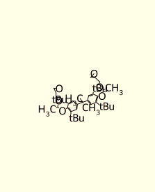 CC(OCC1CO1)Oc1c(C(C)(C)C)cc(C(C)(C)c2cc(C(C)(C)C)c(OC(C)OCC3CO3)c(C(C)(C)C)c2)cc1C(C)(C)C